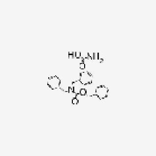 NC(=O)O.O=C(OCc1ccccc1)N(Cc1ccccc1)Cc1ccccc1